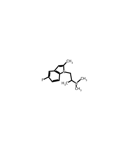 Cc1cc2cc(F)ccc2n1CC(C)N(C)C